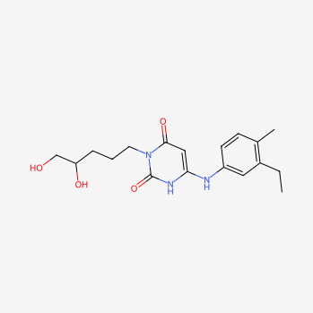 CCc1cc(Nc2cc(=O)n(CCCC(O)CO)c(=O)[nH]2)ccc1C